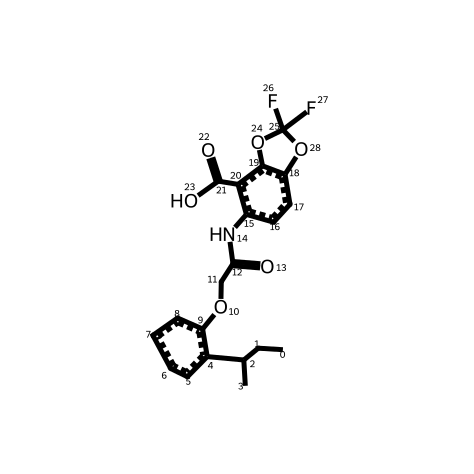 CCC(C)c1ccccc1OCC(=O)Nc1ccc2c(c1C(=O)O)OC(F)(F)O2